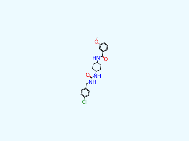 COc1cccc(C(=O)NC2CCC(NC(=O)NCc3ccc(Cl)cc3)CC2)c1